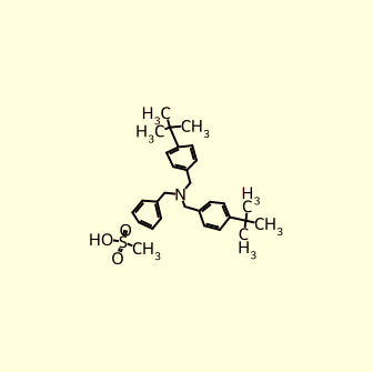 CC(C)(C)c1ccc(CN(Cc2ccccc2)Cc2ccc(C(C)(C)C)cc2)cc1.CS(=O)(=O)O